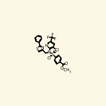 COC(=O)c1ccc(S(=O)(=O)N(Cc2csc(-c3ccccc3)n2)c2ncc(C(F)(F)F)cc2Cl)cc1